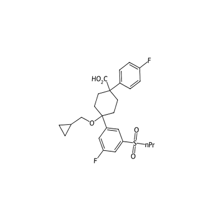 CCCS(=O)(=O)c1cc(F)cc(C2(OCC3CC3)CCC(C(=O)O)(c3ccc(F)cc3)CC2)c1